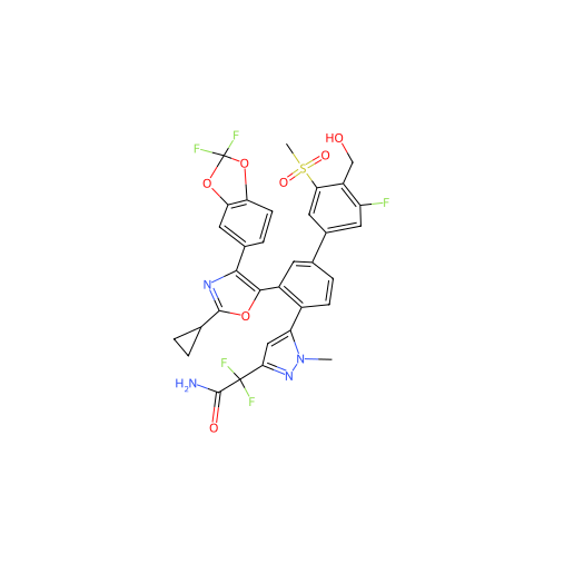 Cn1nc(C(F)(F)C(N)=O)cc1-c1ccc(-c2cc(F)c(CO)c(S(C)(=O)=O)c2)cc1-c1oc(C2CC2)nc1-c1ccc2c(c1)OC(F)(F)O2